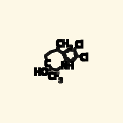 C=C1CCC[C@@](O)(C(F)(F)F)CNc2cc(Cl)c(Cl)cc21